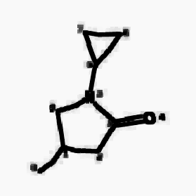 CC1CC(=O)N(C2CC2)C1